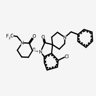 O=C1[C@H](N2C(=O)C3(CCN(Cc4ccccc4)CC3)c3c(Cl)cccc32)CCCN1CC(F)(F)F